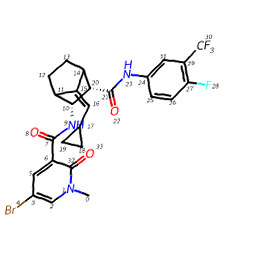 Cn1cc(Br)cc(C(=O)N[C@@H]2C3CCC(/C3=C/C3CC3)[C@@H]2C(=O)Nc2ccc(F)c(C(F)(F)F)c2)c1=O